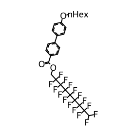 CCCCCCOc1ccc(-c2ccc(C(=O)OCC(F)(F)C(F)(F)C(F)(F)C(F)(F)C(F)(F)C(F)(F)C(F)(F)C(F)F)cc2)cc1